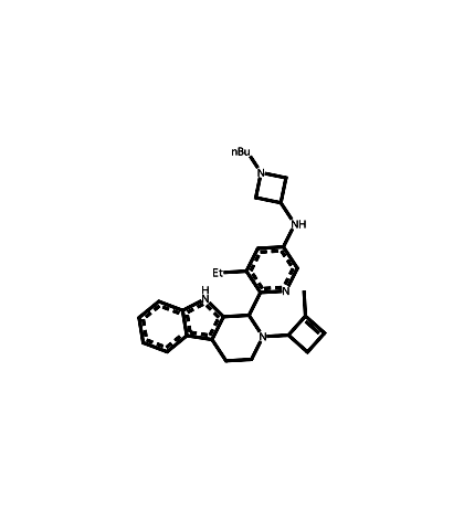 CCCCN1CC(Nc2cnc(C3c4[nH]c5ccccc5c4CCN3C3CC=C3C)c(CC)c2)C1